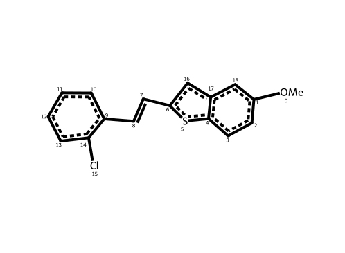 COc1ccc2sc(/C=C/c3ccccc3Cl)cc2c1